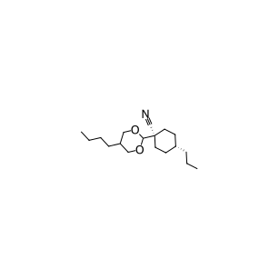 CCCCC1COC([C@]2(C#N)CC[C@@H](CCC)CC2)OC1